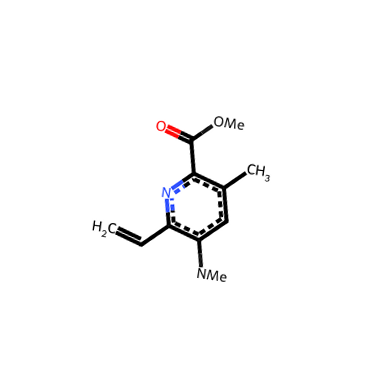 C=Cc1nc(C(=O)OC)c(C)cc1NC